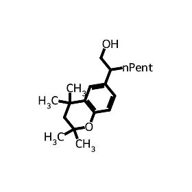 CCCCCC(CO)c1ccc2c(c1)C(C)(C)CC(C)(C)O2